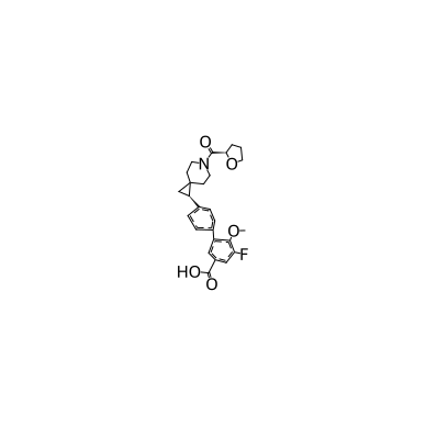 COc1c(F)cc(C(=O)O)cc1-c1ccc([C@H]2CC23CCN(C(=O)[C@H]2CCCO2)CC3)cc1